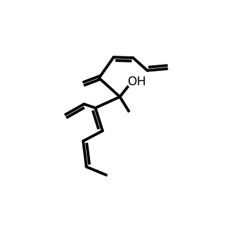 C=C/C=C\C(=C)C(C)(O)/C(C=C)=C/C=C\C